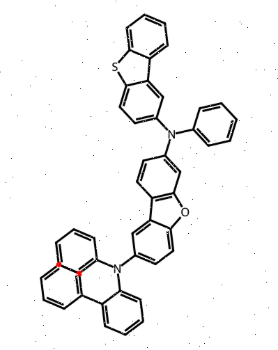 c1ccc(-c2ccccc2N(c2ccccc2)c2ccc3oc4cc(N(c5ccccc5)c5ccc6sc7ccccc7c6c5)ccc4c3c2)cc1